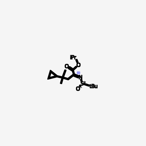 CC(C)OC(=O)/C(CC(C)(C)C1CC1)=N/[S+]([O-])C(C)(C)C